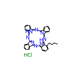 CCCCc1cccc2c3nc4nc(nc5[nH]c(nc6nc(nc([nH]3)c12)-c1ccccc1-6)c1ccccc51)-c1ccccc1-4.Cl